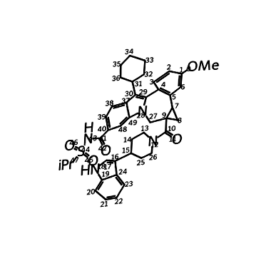 COc1ccc2c(c1)C1CC1(C(=O)N1CCC(c3c[nH]c4ccccc34)CC1)Cn1c-2c(C2CCCCC2)c2ccc(C(=O)NS(=O)(=O)C(C)C)cc21